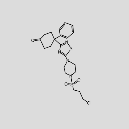 O=C1CCC(c2ccccc2)(c2nsc(N3CCN(S(=O)(=O)CCCCl)CC3)n2)CC1